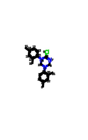 Cc1ccc(N2CN=C(Cl)N(c3ccc(C)cc3C)C2)c(C)c1